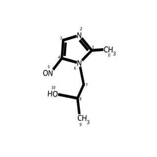 Cc1ncc(N=O)n1CC(C)O